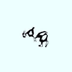 COc1cc2nccc(Nc3cc(C)cc(-n4cccn4)c3)c2cc1OC